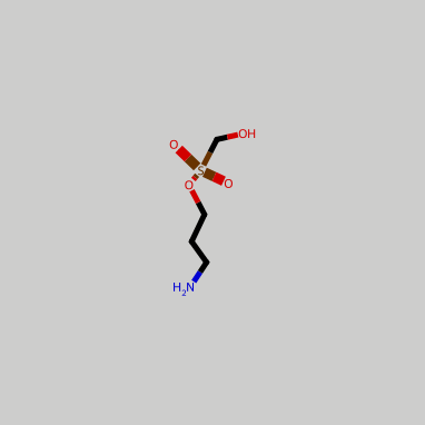 NCCCOS(=O)(=O)CO